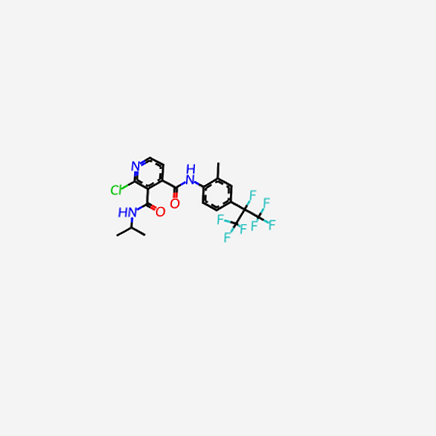 Cc1cc(C(F)(C(F)(F)F)C(F)(F)F)ccc1NC(=O)c1ccnc(Cl)c1C(=O)NC(C)C